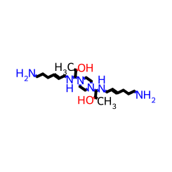 CC(O)C(NCC=CCCCN)N1CCN(C(NCC=CCCCN)C(C)O)CC1